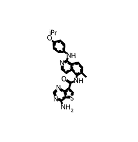 Cc1ccc2c(Nc3ccc(OC(C)C)cc3)nccc2c1NC(=O)c1csc2c(N)ncnc12